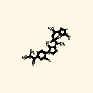 CC(=CS(=O)(=O)N(C)[C@H]1CCN(c2ccc(C(=O)N(C)C)cc2F)C1=O)c1ccc(Cl)s1